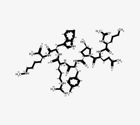 CCCC[C@H](NC(C)=O)C(=O)N[C@@H](CCC(C)=O)C(=O)N1C[C@H](O)C[C@H]1C(=O)N[C@H](Cc1ccc(I)cc1)C(=O)N[C@@H](CCCNC(N)N)C(=O)N[C@@H](Cc1c[nH]c2ccccc12)C(=O)N[C@@H](CCCCNC)C(N)=O